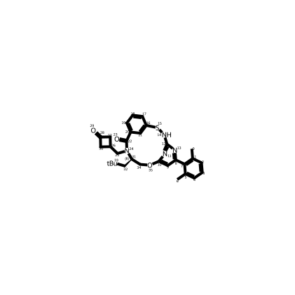 Cc1cccc(C)c1-c1cc2nc(n1)NSc1cccc(c1)C(=O)N(CC1CC(=O)C1)[C@H](CC(C)(C)C)CO2